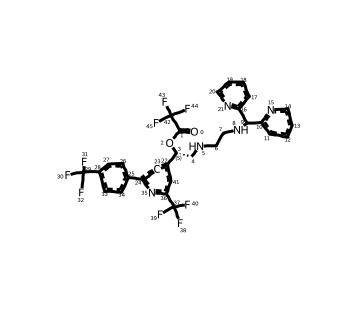 O=C(O[C@H](CNCCNC(c1ccccn1)c1ccccn1)c1cc(-c2ccc(C(F)(F)F)cc2)nc(C(F)(F)F)c1)C(F)(F)F